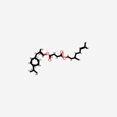 CC(C)=CCCC(C)CCOC(=O)CCC(=O)OC=C(C)Cc1ccc(C(C)C)cc1